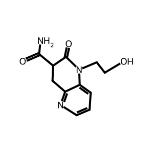 NC(=O)C1Cc2ncccc2N(CCO)C1=O